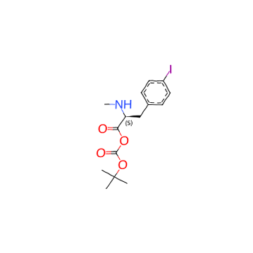 CN[C@@H](Cc1ccc(I)cc1)C(=O)OC(=O)OC(C)(C)C